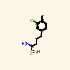 Cc1ccc(CCC[C@H](N)C(=O)O)cc1Cl